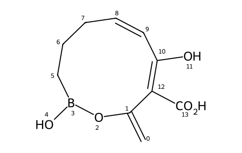 C=C1OB(O)CCC/C=C\C(O)=C/1C(=O)O